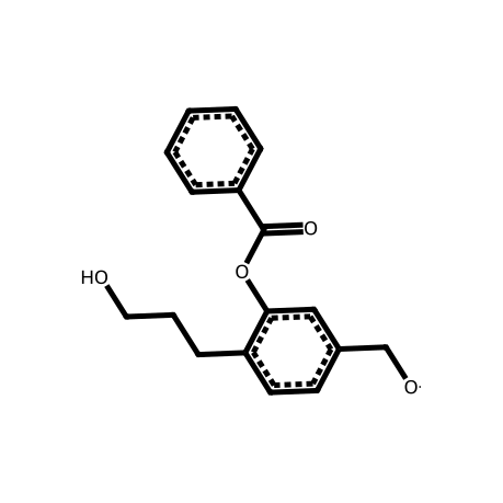 [O]Cc1ccc(CCCO)c(OC(=O)c2ccccc2)c1